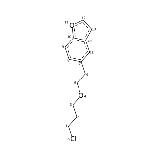 ClCCCOCCc1ccc2occc2c1